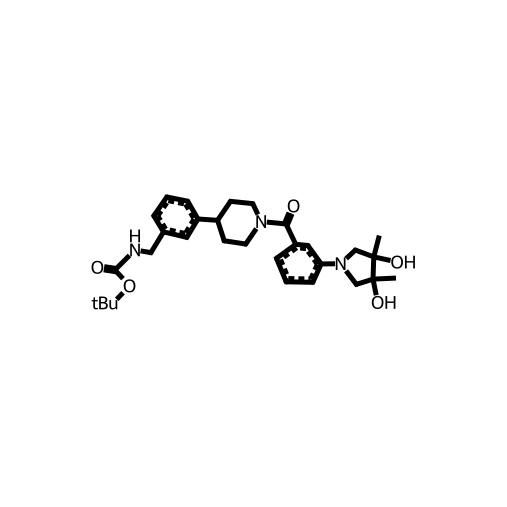 CC(C)(C)OC(=O)NCc1cccc(C2CCN(C(=O)c3cccc(N4CC(C)(O)C(C)(O)C4)c3)CC2)c1